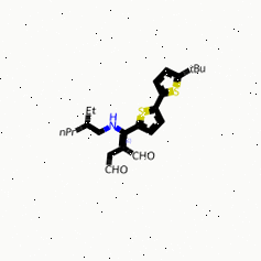 CCCC(CC)CN/C(=C(/C=O)CC=O)c1ccc(-c2ccc(C(C)(C)C)s2)s1